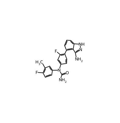 Cc1cc(N(C(N)=O)c2ccc(-c3cccc4[nH]nc(N)c34)c(F)c2)ccc1F